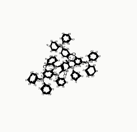 CC12CC3=C(NC1N(c1ccccc1)c1cc(N(c4ccccc4)C4C=CCCC4)cc4c1B2C1=C(C=C(N(C2=CCCC=C2)c2ccccc2)CC1)O4)N(c1ccccc1)c1cc(N(c2ccccc2)c2ccccc2)cc2c1B3c1ccccc1O2